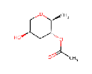 CC(=O)O[C@@H]1C[C@@H](O)CO[C@H]1C